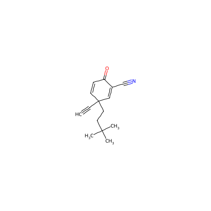 C#CC1(CCC(C)(C)C)C=CC(=O)C(C#N)=C1